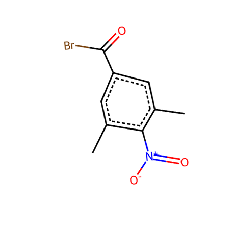 Cc1cc(C(=O)Br)cc(C)c1[N+](=O)[O-]